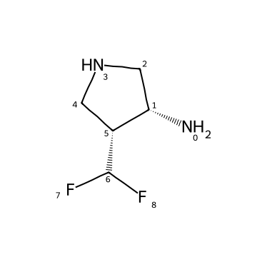 N[C@H]1CNC[C@H]1C(F)F